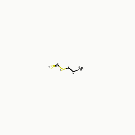 CCCCCS[C]=S